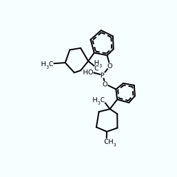 CC1CCC(C)(c2ccccc2OP(O)Oc2ccccc2C2(C)CCC(C)CC2)CC1